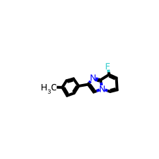 Cc1ccc(-c2cn3cccc(F)c3n2)cc1